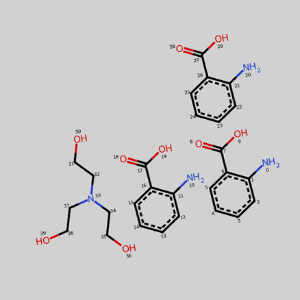 Nc1ccccc1C(=O)O.Nc1ccccc1C(=O)O.Nc1ccccc1C(=O)O.OCCN(CCO)CCO